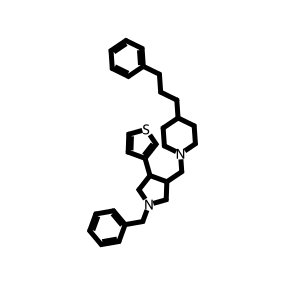 c1ccc(CCCC2CCN(CC3CN(Cc4ccccc4)CC3c3ccsc3)CC2)cc1